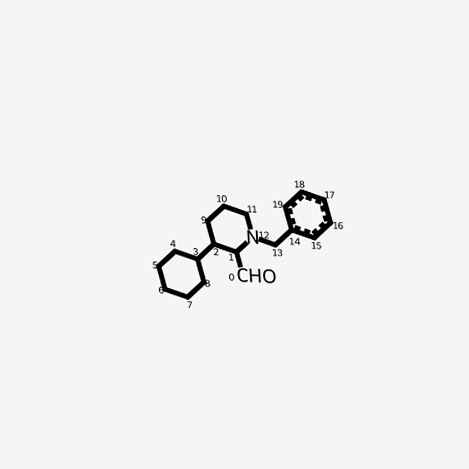 O=CC1C(C2CCCCC2)CCCN1Cc1ccccc1